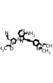 C=CC(=O)N1C[C@@H](n2nc(C#Cc3ccc4c(c3)nc(C)n4CC)c3c(N)nccc32)C[C@@H]1CC#N